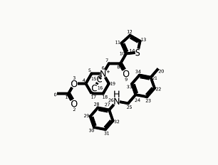 CC(=O)OC1C[N+]2(CC(=O)c3cccs3)CCC1CC2.Cc1ccc(CNc2ccccc2)cc1